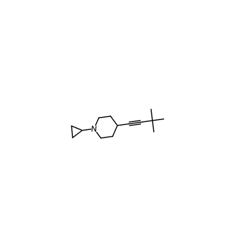 CC(C)(C)C#CC1CCN(C2CC2)CC1